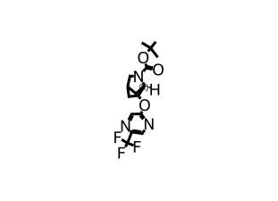 CC(C)(C)OC(=O)N1CC2CC(Oc3cnc(C(F)(F)F)cn3)[C@H]1C2